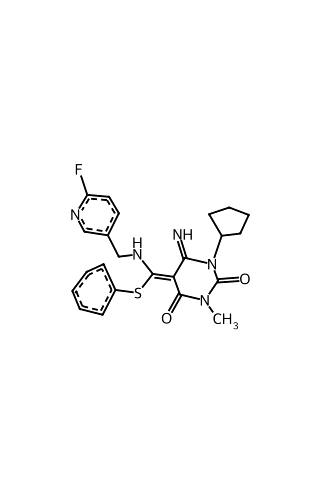 CN1C(=O)/C(=C(/NCc2ccc(F)nc2)Sc2ccccc2)C(=N)N(C2CCCC2)C1=O